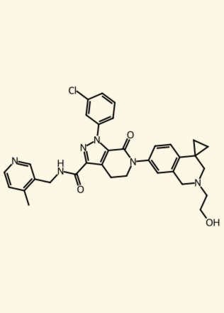 Cc1ccncc1CNC(=O)c1nn(-c2cccc(Cl)c2)c2c1CCN(c1ccc3c(c1)CN(CCO)CC31CC1)C2=O